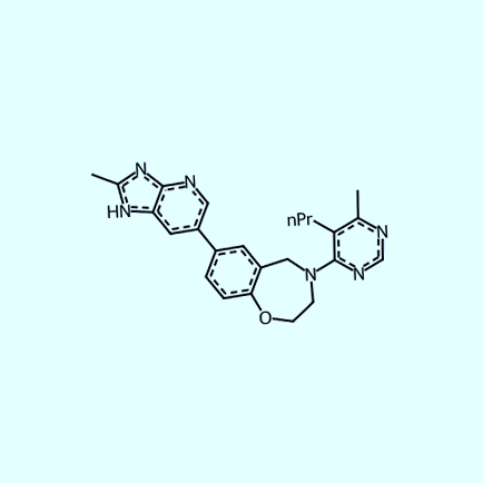 CCCc1c(C)ncnc1N1CCOc2ccc(-c3cnc4nc(C)[nH]c4c3)cc2C1